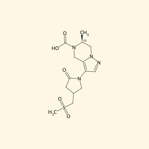 C[C@H]1Cn2ncc(N3CC(CS(C)(=O)=O)CC3=O)c2CN1C(=O)O